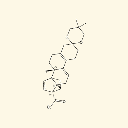 CCC(=O)[C@@]12C=CC3(CC1)[C@@H]1CCC4=C(CCC5(C4)OCC(C)(C)CO5)C1=CC[C@@]32C